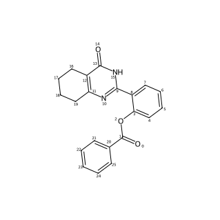 O=C(Oc1ccccc1-c1nc2c(c(=O)[nH]1)CCCC2)c1ccccc1